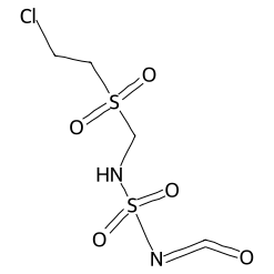 O=C=NS(=O)(=O)NCS(=O)(=O)CCCl